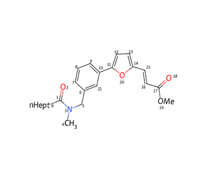 CCCCCCCC(=O)N(C)Cc1cccc(-c2ccc(C=CC(=O)OC)o2)c1